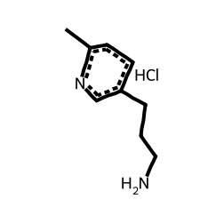 Cc1ccc(CCCN)cn1.Cl